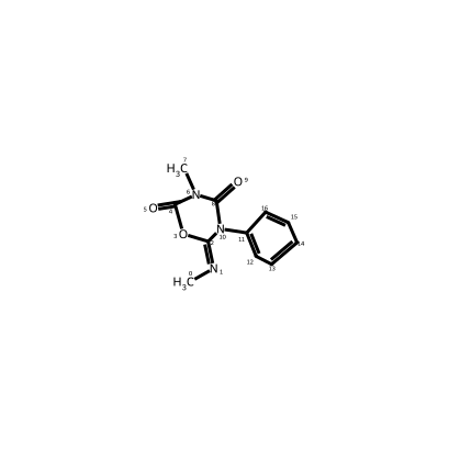 CN=c1oc(=O)n(C)c(=O)n1-c1ccccc1